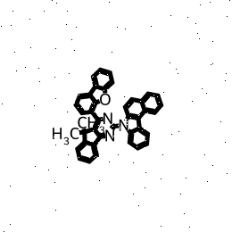 CC1(C)c2ccccc2-c2nc(-n3c4ccccc4c4c5ccccc5ccc43)nc(-c3cccc4c3oc3ccccc34)c21